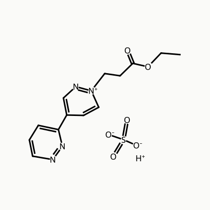 CCOC(=O)CC[n+]1ccc(-c2cccnn2)cn1.O=S(=O)([O-])[O-].[H+]